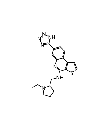 CCN1CCCC1CNc1nc2cc(-c3nnn[nH]3)ccc2c2ccsc12